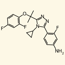 CC(C)(Oc1ccc(F)cc1F)c1nnc(-c2ccc(N)cc2F)n1C1CC1